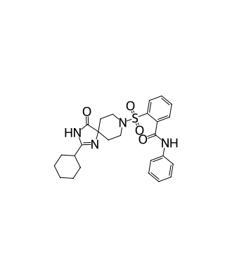 O=C(Nc1ccccc1)c1ccccc1S(=O)(=O)N1CCC2(CC1)N=C(C1CCCCC1)NC2=O